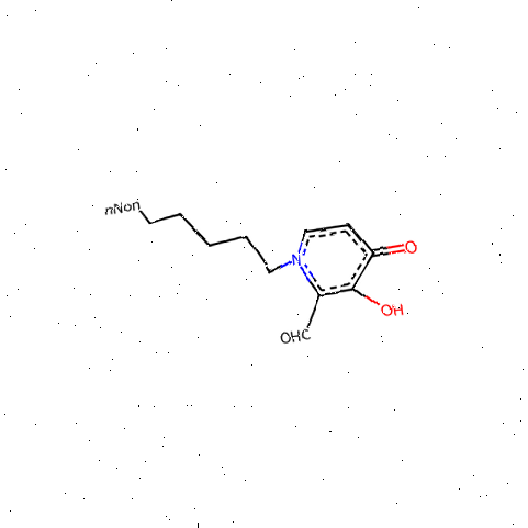 CCCCCCCCCCCCCCn1ccc(=O)c(O)c1C=O